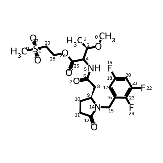 CO[C@H](C)C(NC(=O)C[C@@H]1CCC(=O)N1Cc1cc(F)cc(F)c1F)C(=O)OCCS(C)(=O)=O